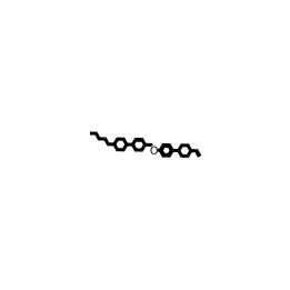 C=CC1CCC(c2ccc(OCC3C=CC(C4CCC(CCCCC)CC4)CC3)cc2)CC1